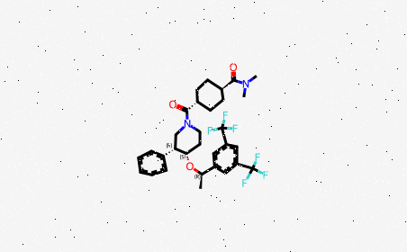 C[C@@H](O[C@H]1CCN(C(=O)[C@H]2CC[C@H](C(=O)N(C)C)CC2)C[C@H]1c1ccccc1)c1cc(C(F)(F)F)cc(C(F)(F)F)c1